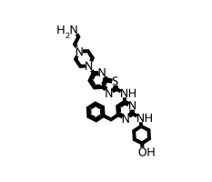 NCCN1CCN(c2ccc3nc(Nc4cc(Cc5ccccc5)nc(NC5CCC(O)CC5)n4)sc3n2)CC1